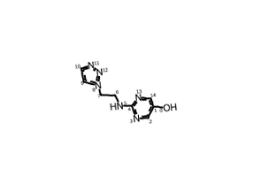 Oc1cnc(NCCn2ccnn2)nc1